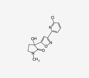 CN1CCC(O)(c2cc(-c3cccc(Cl)n3)no2)C1=O